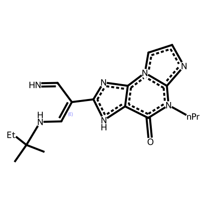 CCCn1c(=O)c2[nH]c(/C(C=N)=C/NC(C)(C)CC)nc2n2ccnc12